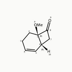 CO[C@]12CCC=C[C@H]1CC2=O